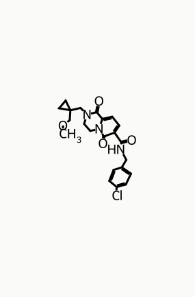 COCC1(CN2CCn3c(ccc(C(=O)NCc4ccc(Cl)cc4)c3=O)C2=O)CC1